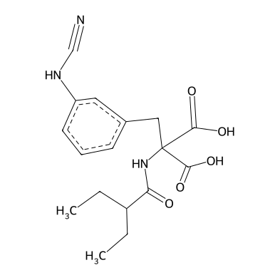 CCC(CC)C(=O)NC(Cc1cccc(NC#N)c1)(C(=O)O)C(=O)O